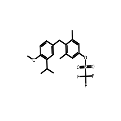 COc1ccc(Cc2c(C)cc(OS(=O)(=O)C(F)(F)F)cc2C)cc1C(C)C